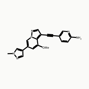 COc1cc(-c2cnn(C)c2)cn2ncc(C#Cc3ccc(N)nc3)c12